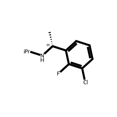 CC(C)N[C@H](C)c1cccc(Cl)c1F